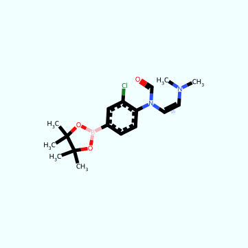 CN(C)/C=C\N(C=O)c1ccc(B2OC(C)(C)C(C)(C)O2)cc1Cl